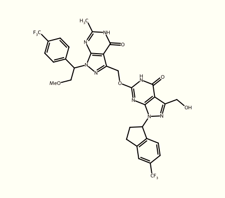 COCC(c1ccc(C(F)(F)F)cc1)n1nc(COc2nc3c(c(CO)nn3C3CCc4cc(C(F)(F)F)ccc43)c(=O)[nH]2)c2c(=O)[nH]c(C)nc21